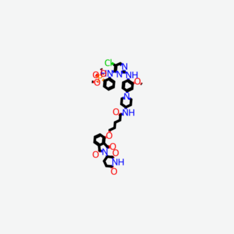 COc1cc(N2CCC(NC(=O)CCCCOc3cccc4c3C(=O)N(C3CCC(=O)NC3=O)C4=O)CC2)ccc1Nc1ncc(Cl)c(Nc2ccccc2P(=O)(OC)OC)n1